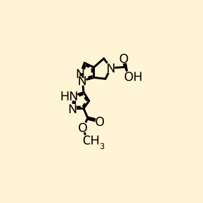 COC(=O)c1cc(-n2ncc3c2CN(C(=O)O)C3)[nH]n1